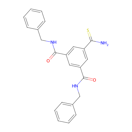 NC(=S)c1cc(C(=O)NCc2ccccc2)cc(C(=O)NCc2ccccc2)c1